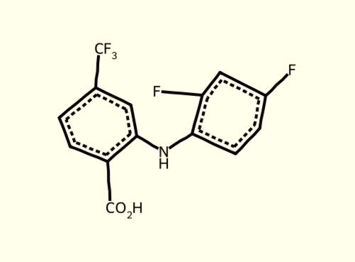 O=C(O)c1ccc(C(F)(F)F)cc1Nc1ccc(F)cc1F